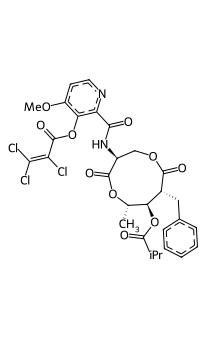 COc1ccnc(C(=O)N[C@H]2COC(=O)[C@H](Cc3ccccc3)[C@@H](OC(=O)C(C)C)[C@H](C)OC2=O)c1OC(=O)C(Cl)=C(Cl)Cl